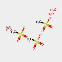 O.O.O.O=S(=O)([O-])C(F)(F)F.O=S(=O)([O-])C(F)(F)F.O=S(=O)([O-])C(F)(F)F.[Sc+3]